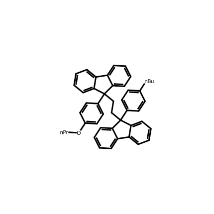 CCCCc1ccc(C2(CCC3(c4ccc(OCCC)cc4)c4ccccc4-c4ccccc43)c3ccccc3-c3ccccc32)cc1